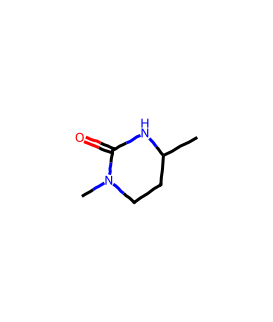 CC1CCN(C)C(=O)N1